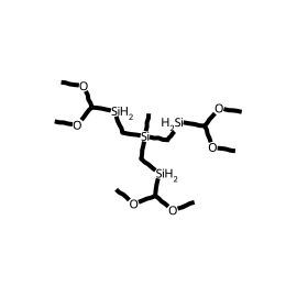 COC(OC)[SiH2]C[Si](C)(C[SiH2]C(OC)OC)C[SiH2]C(OC)OC